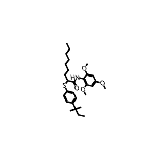 CCCCCCCC(Sc1ccc(C(C)(C)CC)cc1)C(=O)Nc1c(OC)cc(OC)cc1OC